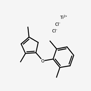 CC1=CC(C)=C(Oc2c(C)cccc2C)C1.[Cl-].[Cl-].[Ti+2]